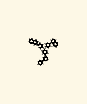 c1ccc(-c2cccc(-c3ccc(N(c4ccc(-c5cccc6ccccc56)cc4)c4cnc5c(c4)oc4cc6ccccc6cc45)cc3)c2)cc1